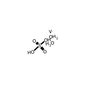 O.O.O=S(=O)(O)O.[V]